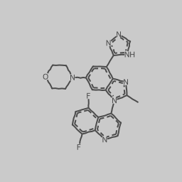 Cc1nc2c(-c3nnc[nH]3)cc(N3CCOCC3)cc2n1-c1ccnc2c(F)ccc(F)c12